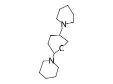 C1CCN(C2CCC(N3CCCCC3)CC2)CC1